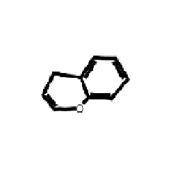 [c]1c[c]c2c(c1)CC=CO2